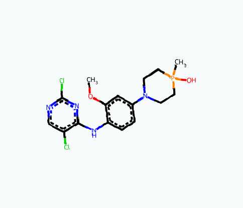 COc1cc(N2CC[P](C)(O)CC2)ccc1Nc1nc(Cl)ncc1Cl